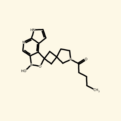 CCCCC(=O)N1CCC2(C1)CC1(C2)OB(O)c2cnc3[nH]ccc3c21